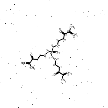 C=C(C)C(=O)CCOOP(=O)(OOCCC(=O)C(=C)C)OOCCC(=O)C(=C)C